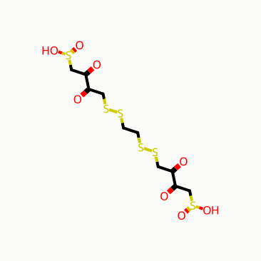 O=C(CSSCCSSCC(=O)C(=O)CS(=O)O)C(=O)CS(=O)O